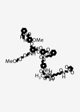 COCCOCCOCCNc1cc(COc2cc3c(cc2OC)C(=O)N2c4ccccc4C[C@H]2C=N3)cc(COc2cc3c(cc2OC)C(=O)N2c4ccccc4CC2CN3C(=O)OCc2ccc(NC(=O)[C@H](C)NC(=O)[C@@H](NC(=O)CCCCC(=O)NCCN3C(=O)C=CC3=O)C(C)C)cc2)c1